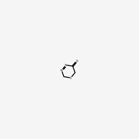 O=C1CSCN=N1